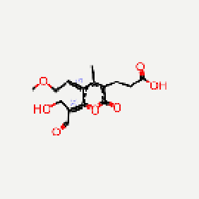 COC/C=c1/c(C)c(CCC(=O)O)c(=O)o/c1=C(\C=O)CO